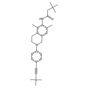 Cc1cc2c(c(C)c1NC(=O)CC(C)(C)C)CCN(c1ccc(C#C[Si](C)(C)C)cc1)C2